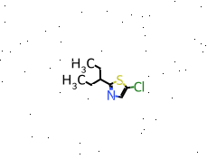 CCC(CC)c1ncc(Cl)s1